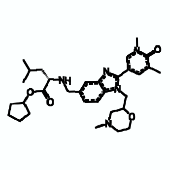 Cc1cc(-c2nc3cc(CN[C@@H](CC(C)C)C(=O)OC4CCCC4)ccc3n2CC2CN(C)CCO2)cn(C)c1=O